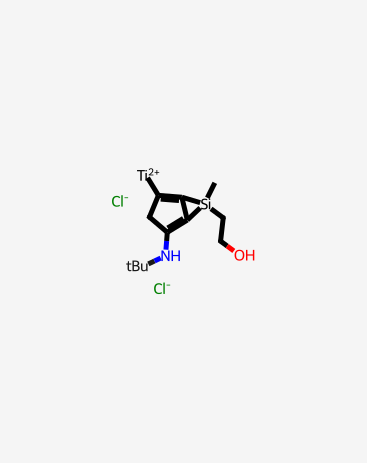 CC(C)(C)NC1=C2C(=[C]([Ti+2])C1)[Si]2(C)CCO.[Cl-].[Cl-]